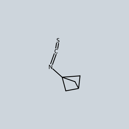 S=C=NC12CC(C1)C2